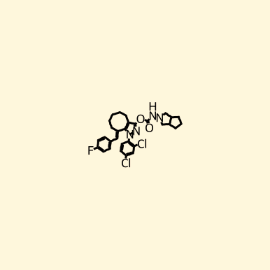 O=C(NN1CC2CCCC2C1)Oc1nn(-c2ccc(Cl)cc2Cl)c2c1CCCCC/C2=C\c1ccc(F)cc1